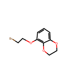 BrCCOc1cccc2c1OCCO2